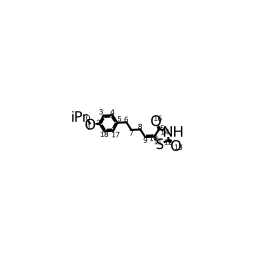 CC(C)Oc1ccc(CCC/C=C2/SC(=O)NC2=O)cc1